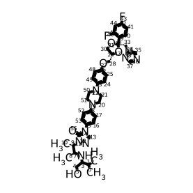 CC(C)C(CO)N[C@@H](C)[C@H](C)n1ncn(-c2ccc(N3CCN(c4ccc(OC[C@@H]5CO[C@@](Cn6cncn6)(c6ccc(F)cc6F)O5)cc4)CC3)cc2)c1=O